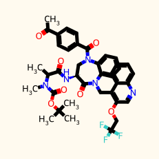 CC(=O)c1ccc(C(=O)N2C[C@H](NC(=O)C(C)N(C)C(=O)OC(C)(C)C)C(=O)N(Cc3c(OCC(F)(F)F)cnc4ccccc34)c3ccccc32)cc1